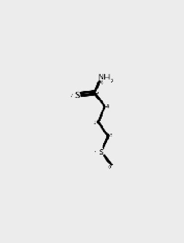 CSCC[CH]C(N)=S